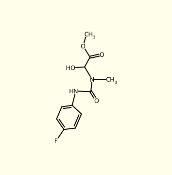 COC(=O)C(O)N(C)C(=O)Nc1ccc(F)cc1